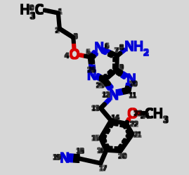 CCCCOc1nc(N)c2ncn(Cc3cc(CC#N)ccc3OC)c2n1